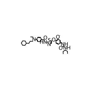 CCC(CC)NC(=O)Nc1ccc(Oc2cnc(NC(=O)c3ccc(N(CC)CCCC4CCCCC4)cc3)s2)c(OC)c1